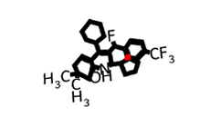 CC1(C)CC=C2C(C3CCCCC3)=C(C(F)c3ccc(C(F)(F)F)cc3)C(C3CCCC3)=N[C@]2(O)C1